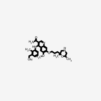 COc1cc2c(Nc3cccc(CO)c3C)c(C(N)=O)cnc2cc1OCCCC1(C)CNCC(C)O1